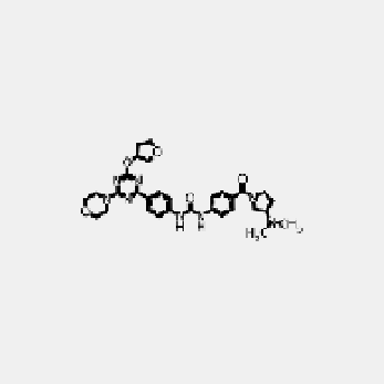 CN(C)C1CCN(C(=O)c2ccc(NC(=O)Nc3ccc(-c4nc(OC5CCOC5)nc(N5CCOCC5)n4)cc3)cc2)C1